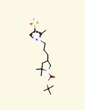 Cc1c(S(N)(=O)=O)cnn1CCCC1CN(C(=O)OC(C)(C)C)C(C)(C)C1